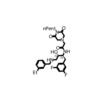 CCCCCN1C(=O)CN(CC(=O)N[C@@H](Cc2cc(F)cc(F)c2)[C@@H](O)CNCc2cccc(CC)c2)CC1=O